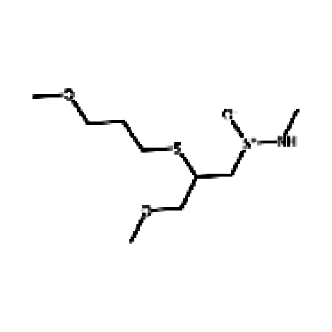 CN[S+]([O-])CC(COC)SCCCOC